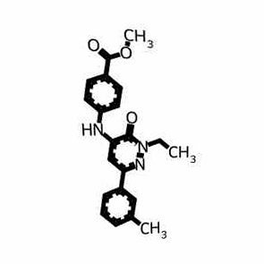 CCn1nc(-c2cccc(C)c2)cc(Nc2ccc(C(=O)OC)cc2)c1=O